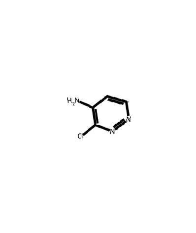 Nc1c[c]nnc1Cl